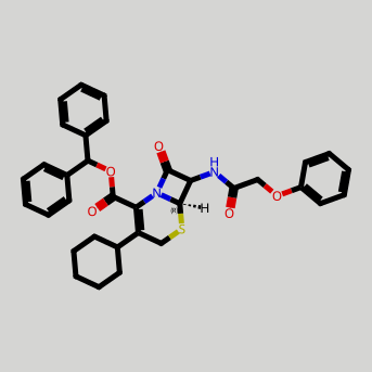 O=C(COc1ccccc1)NC1C(=O)N2C(C(=O)OC(c3ccccc3)c3ccccc3)=C(C3CCCCC3)CS[C@H]12